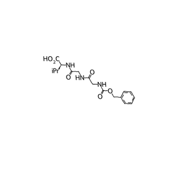 CC(C)[C@H](NC(=O)CNC(=O)CNC(=O)OCc1ccccc1)C(=O)O